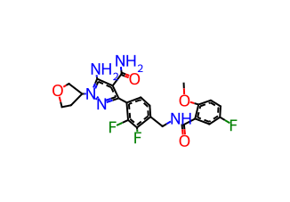 COc1ccc(F)cc1C(=O)NCc1ccc(-c2nn(C3CCOC3)c(N)c2C(N)=O)c(F)c1F